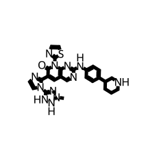 CN1N=C(n2ccnc2-c2cc3cnc(Nc4ccc(C5CCCNC5)cc4)nc3n(-c3nccs3)c2=O)NN1